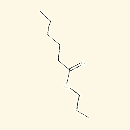 CC[CH]OC(=O)CCCCC